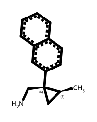 C[C@H]1C[C@]1(CN)c1ccc2ccccc2c1